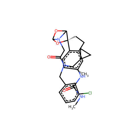 CNC(=O)Nc1ccc2c(c1)CC[C@@]21OC2OC1N2CC(=O)N(Cc1cccc(Cl)c1)[C@@H](C)C1CC1